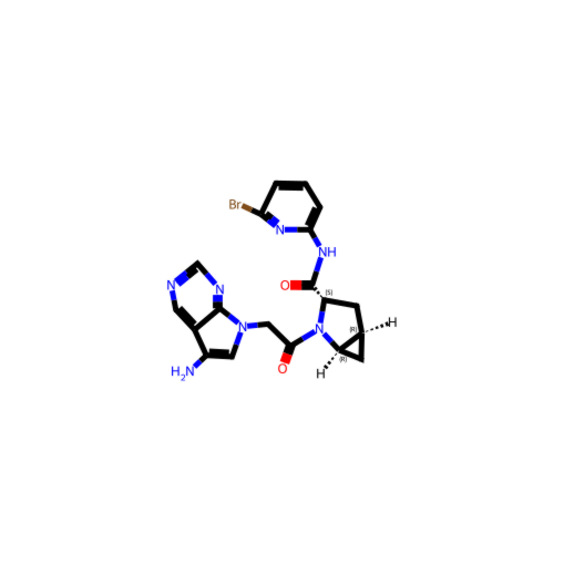 Nc1cn(CC(=O)N2[C@@H]3C[C@@H]3C[C@H]2C(=O)Nc2cccc(Br)n2)c2ncncc12